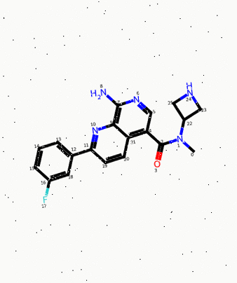 CN(C(=O)c1cnc(N)c2nc(-c3cccc(F)c3)ccc12)C1CNC1